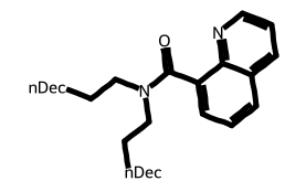 CCCCCCCCCCCCN(CCCCCCCCCCCC)C(=O)c1cccc2cccnc12